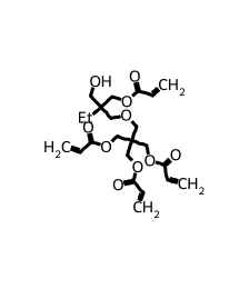 C=CC(=O)OCC(CC)(CO)COCC(COC(=O)C=C)(COC(=O)C=C)COC(=O)C=C